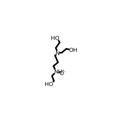 [O-][NH+](CCO)CCCN(CCO)CCO